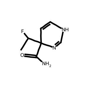 CC(F)C1(C(N)=O)C=CNC=N1